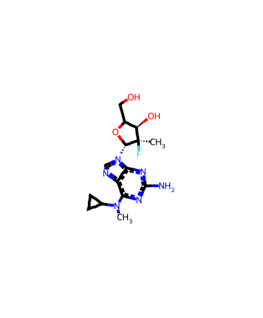 CN(c1nc(N)nc2c1ncn2[C@@H]1OC(CO)[C@@H](O)[C@@]1(C)F)C1CC1